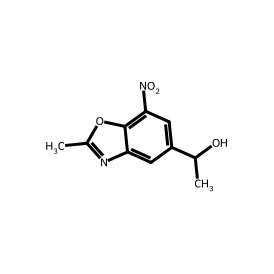 Cc1nc2cc(C(C)O)cc([N+](=O)[O-])c2o1